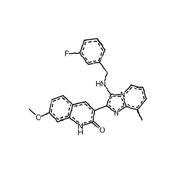 COc1ccc2cc(-c3nc4c(C)cccn4c3NCc3cccc(F)c3)c(=O)[nH]c2c1